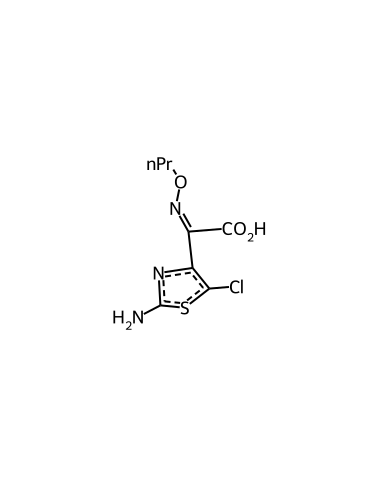 CCCON=C(C(=O)O)c1nc(N)sc1Cl